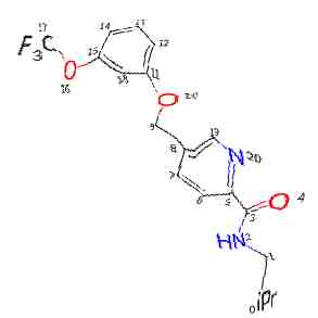 CC(C)CNC(=O)c1ccc(COc2cccc(OC(F)(F)F)c2)cn1